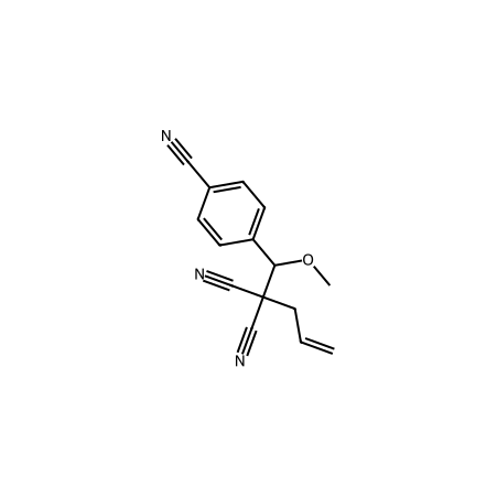 C=CCC(C#N)(C#N)C(OC)c1ccc(C#N)cc1